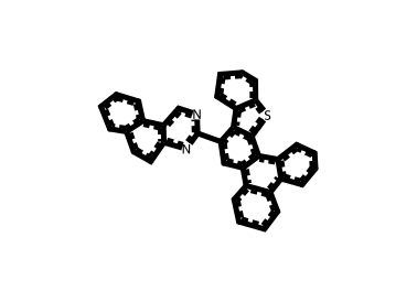 c1ccc2c(c1)ccc1nc(-c3cc4c5ccccc5c5ccccc5c4c4sc5ccccc5c34)ncc12